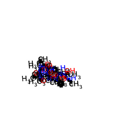 CCCNC(=O)[C@@H](NC(=O)N(C)C(=O)[C@H](Cc1ccccc1)N(C)C(=O)[C@H](C)N(C)C(=O)[C@@H](C)NC(=O)[C@H](NC(=O)[C@H](CC(C)C)N(C)C(=O)CNC(=O)[C@H](CC(C)C)N(C)C(C)=O)C(=O)N1CCCCC1)[C@@H](C)O